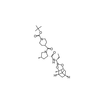 CC[C@H](NC(=O)[C@@H]1C[C@@H](C)CN1C(=O)C1CCN(C(=O)OC(C)(C)C)CC1)B1OC2C[C@@H]3C[C@@H](C3(C)C)[C@]2(C)O1